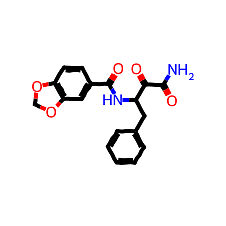 NC(=O)C(=O)C(Cc1ccccc1)NC(=O)c1ccc2c(c1)OCO2